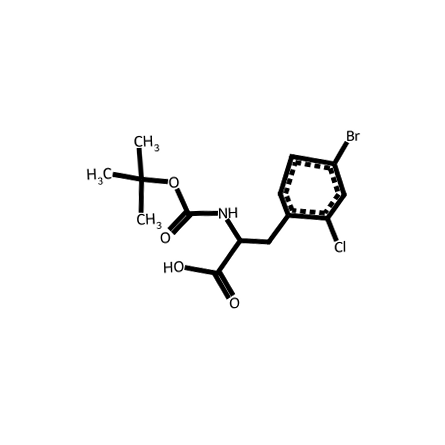 CC(C)(C)OC(=O)NC(Cc1ccc(Br)cc1Cl)C(=O)O